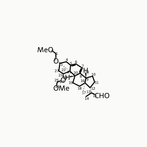 COCO[C@@H]1CC2=CC=C3[C@@H]4CC[C@H](C(C)C=O)[C@@]4(C)CC[C@@H]3[C@@]2(C)[C@@H](OCOC)C1